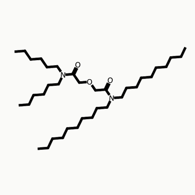 CCCCCCCCCCN(CCCCCCCCCC)C(=O)COCC(=O)N(CCCCCC)CCCCCC